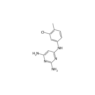 Cc1ccc(Nc2cc(N)nc(N)n2)cc1Cl